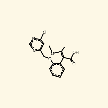 CO/C(C)=C(/C(=O)O)c1ccccc1OCc1cc(Cl)ncn1